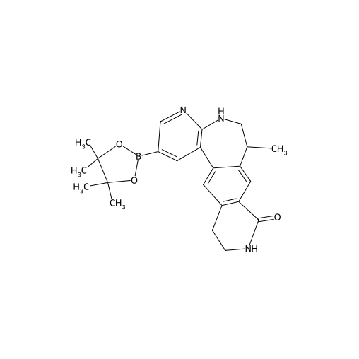 CC1CNc2ncc(B3OC(C)(C)C(C)(C)O3)cc2-c2cc3c(cc21)C(=O)NCC3